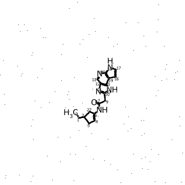 CCC1CC=C(NC(=O)Cc2nc3cnc4[nH]ccc4c3[nH]2)C1